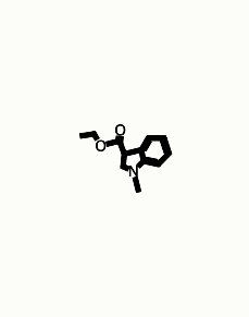 CCOC(=O)C1CN(C)c2ccccc21